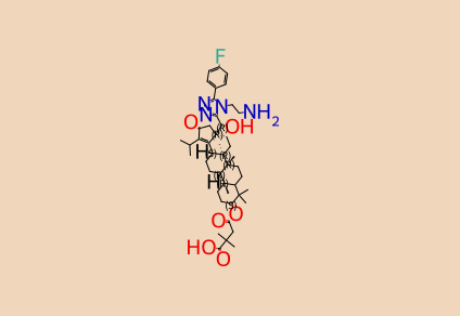 CC(C)C1=C2[C@H]3CC[C@@H]4[C@@]5(C)CC[C@H](OC(=O)CC(C)(C)C(=O)O)C(C)(C)C5CC[C@@]4(C)[C@]3(C)CC[C@@]2([C@@H](O)c2nnc(-c3ccc(F)cc3)n2CCN)CC1=O